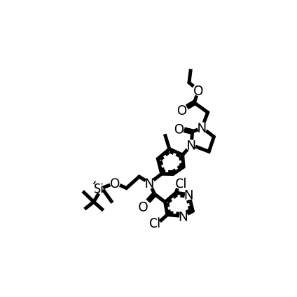 CCOC(=O)CN1CCN(c2ccc(N(CCO[Si](C)(C)C(C)(C)C)C(=O)c3c(Cl)ncnc3Cl)cc2C)C1=O